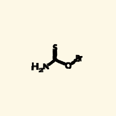 NC(=S)OBr